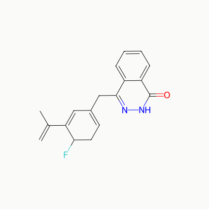 C=C(C)C1=CC(Cc2n[nH]c(=O)c3ccccc23)=CCC1F